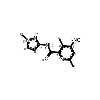 [C-]#[N+]c1cc(C)nc(C(=O)Nc2ccn(C)n2)c1C